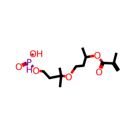 C=C(C)C(=O)OC(C)CCOC(C)(C)CCO[PH](=O)O